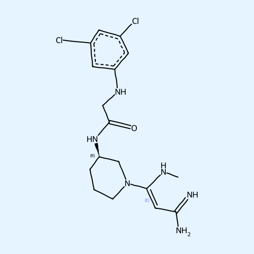 CN/C(=C\C(=N)N)N1CCC[C@@H](NC(=O)CNc2cc(Cl)cc(Cl)c2)C1